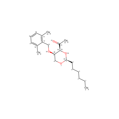 CCCCCC[C@H]1OC[C@@H](OCc2c(C)cccc2C)[C@@H](C(C)=O)O1